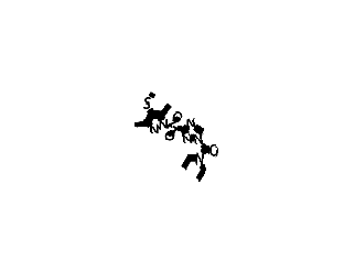 CCN(CC)C(=O)n1cnc(S(=O)(=O)n2nc(C)c(SC)c2C)n1